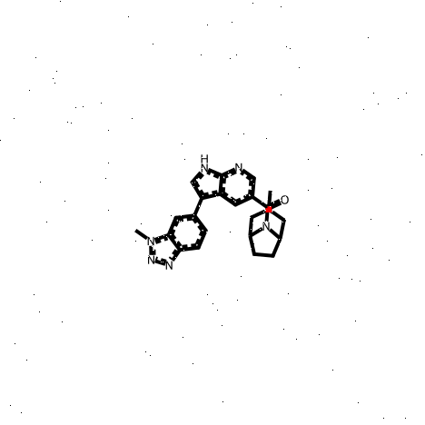 CN1CC2CCC(C1)N2C(=O)c1cnc2[nH]cc(-c3ccc4nnn(C)c4c3)c2c1